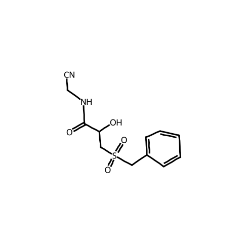 N#CCNC(=O)C(O)CS(=O)(=O)Cc1ccccc1